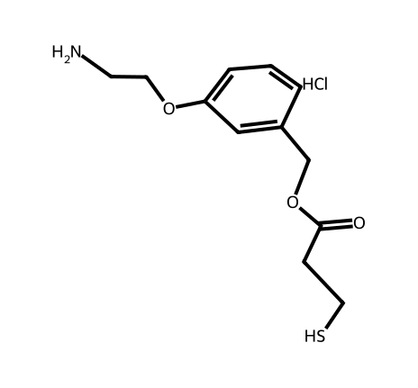 Cl.NCCOc1cccc(COC(=O)CCS)c1